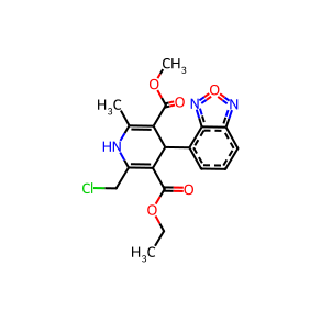 CCOC(=O)C1=C(CCl)NC(C)=C(C(=O)OC)C1c1cccc2nonc12